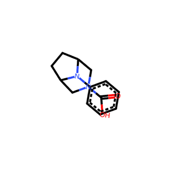 O=C(O)N1CC2CCC(C1)N2c1ccccc1